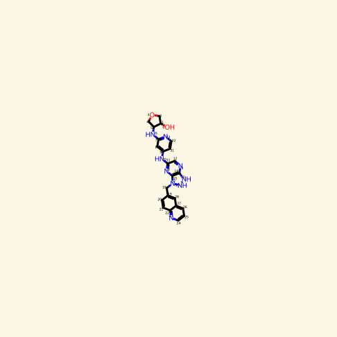 OC1COCC1Nc1cc(Nc2cnc3c(n2)N(Cc2ccc4ncccc4c2)NN3)ccn1